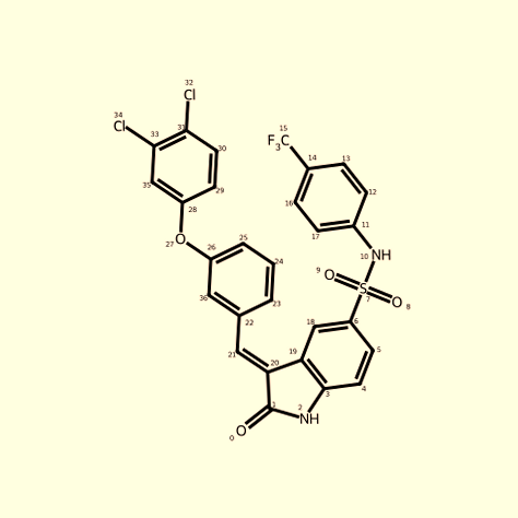 O=C1Nc2ccc(S(=O)(=O)Nc3ccc(C(F)(F)F)cc3)cc2C1=Cc1cccc(Oc2ccc(Cl)c(Cl)c2)c1